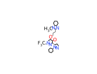 Cn1c(CCCOc2cn(CC(F)(F)F)nc(-c3ccnn3-c3ccccc3)c2=O)nc2ccccc21